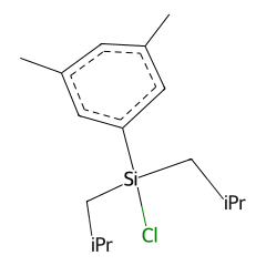 Cc1cc(C)cc([Si](Cl)(CC(C)C)CC(C)C)c1